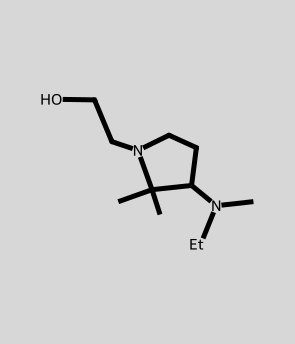 CCN(C)C1CCN(CCO)C1(C)C